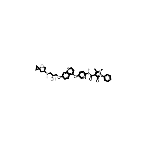 Cc1c(C(=O)Nc2ccc(Oc3ccnc4cc(OC[C@H](O)CNC5COC6(CC6)C5)ccc34)cn2)c(=O)n(-c2ccccc2)n1C